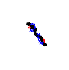 O=C(Nc1ccccc1)c1ccc(-c2nc3cc(-c4ccc5nc(-c6ccc(C(=O)Nc7ccccc7)cc6)[nH]c5c4)ccc3[nH]2)cc1